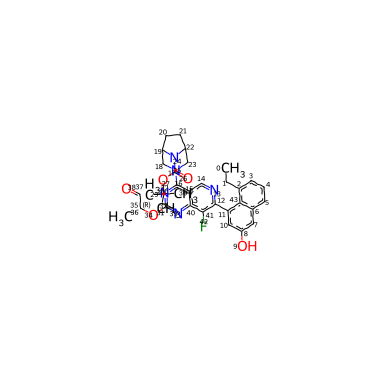 CCc1cccc2cc(O)cc(-c3ncc4c(N5CC6CCC(C5)N6C(=O)OC(C)(C)C)nc(O[C@H](C)C=O)nc4c3F)c12